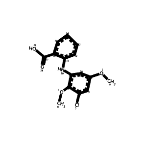 COc1cc(Cl)c(OC)c(Nc2ccccc2C(=O)O)c1